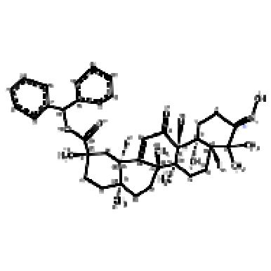 CC1(C)/C(=N/O)CC[C@]2(C)[C@H]3C(=O)C=C4[C@@H]5C[C@@](C)(C(=O)OC(c6ccccc6)c6ccccc6)CC[C@]5(C)CC[C@@]4(C)[C@]3(C)CC[C@@H]12